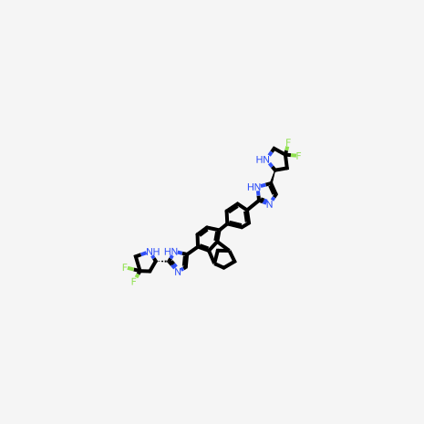 FC1(F)CN[C@H](c2cnc(-c3ccc(-c4ccc(-c5cnc([C@@H]6CC(F)(F)CN6)[nH]5)c5c4C4CCC5C4)cc3)[nH]2)C1